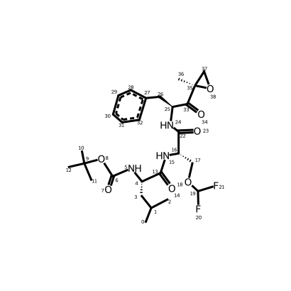 CC(C)C[C@H](NC(=O)OC(C)(C)C)C(=O)N[C@@H](COC(F)F)C(=O)N[C@@H](Cc1ccccc1)C(=O)[C@@]1(C)CO1